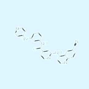 N#Cc1ccc2nccc(Nc3cc(C(=O)Nc4cccc(Nc5ccncc5)c4)ccn3)c2c1